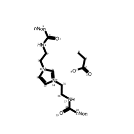 CCC(=O)[O-].CCCCCCCCCC(=O)NCCn1cc[n+](CCNC(=O)CCCCCCCCC)c1